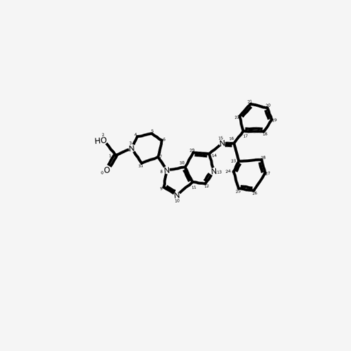 O=C(O)N1CCCC(n2cnc3cnc(N=C(c4ccccc4)c4ccccc4)cc32)C1